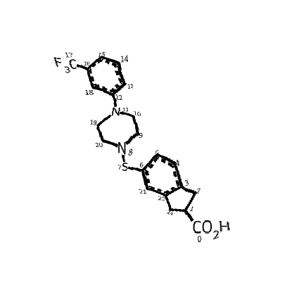 O=C(O)C1Cc2ccc(SN3CCN(c4cccc(C(F)(F)F)c4)CC3)cc2C1